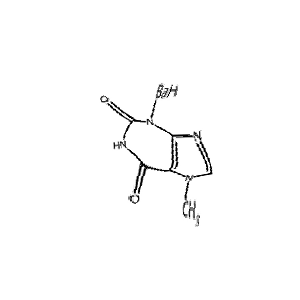 Cn1cnc2c1c(=O)[nH]c(=O)[n]2[BaH]